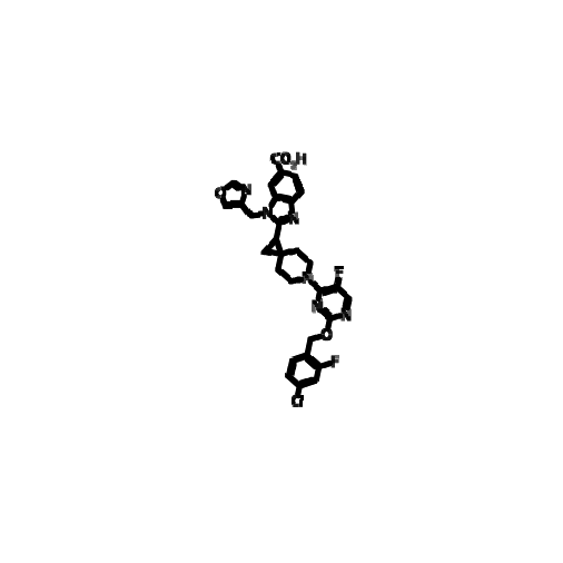 O=C(O)c1ccc2nc(C3CC34CCN(c3nc(OCc5ccc(Cl)cc5F)ncc3F)CC4)n(Cc3cocn3)c2c1